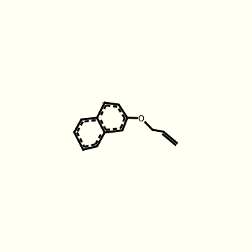 C=CCOc1c[c]c2ccccc2c1